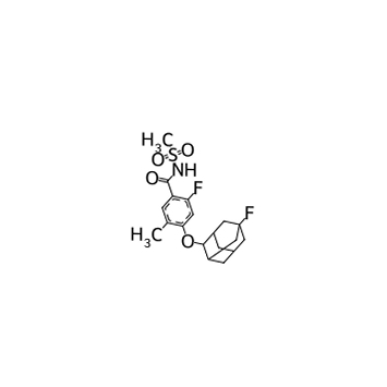 Cc1cc(C(=O)NS(C)(=O)=O)c(F)cc1OC1C2CC3CC1CC(F)(C3)C2